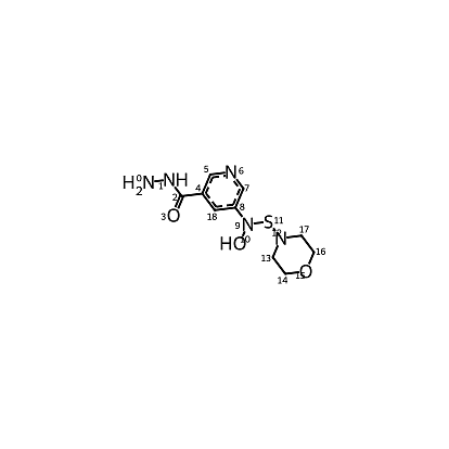 NNC(=O)c1cncc(N(O)SN2CCOCC2)c1